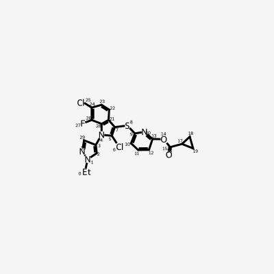 CCn1cc(-n2c(Cl)c(Sc3cccc(OC(=O)C4CC4)n3)c3ccc(Cl)c(F)c32)cn1